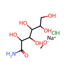 C[O-].Cl.NC(=O)C(O)C(O)C(O)C(O)CO.[Na+]